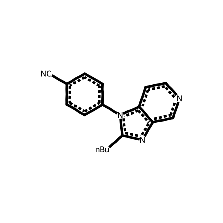 CCCCc1nc2cnccc2n1-c1ccc(C#N)cc1